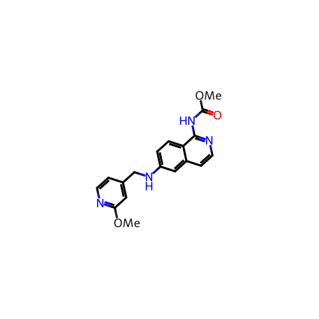 COC(=O)Nc1nccc2cc(NCc3ccnc(OC)c3)ccc12